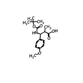 COc1ccc(C(NC(=O)OC(C)(C)C)C(C)C(=O)O)cc1